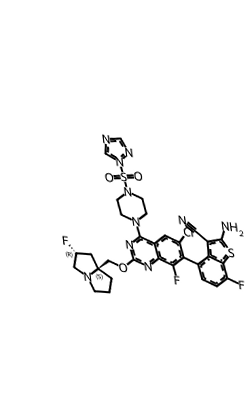 N#Cc1c(N)sc2c(F)ccc(-c3c(Cl)cc4c(N5CCN(S(=O)(=O)n6cncn6)CC5)nc(OC[C@@]56CCCN5C[C@H](F)C6)nc4c3F)c12